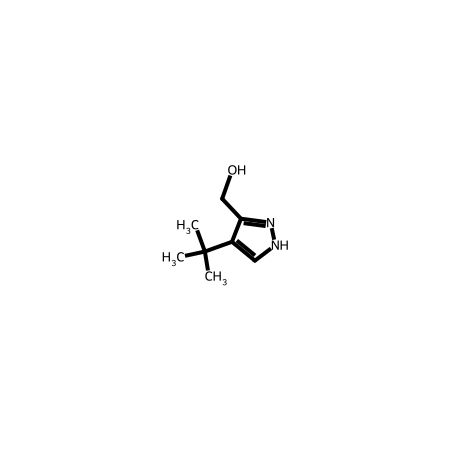 CC(C)(C)c1c[nH]nc1CO